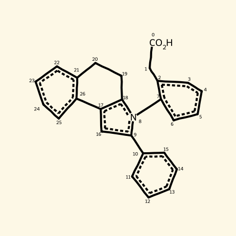 O=C(O)Cc1ccccc1-n1c(-c2ccccc2)cc2c1CCc1ccccc1-2